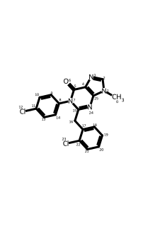 Cn1cnc2c(=O)n(-c3ccc(Cl)cc3)c(Cc3ccccc3Cl)nc21